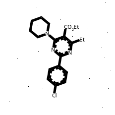 CCOC(=O)c1c(CC)nc(-c2ccc(Cl)cc2)nc1N1CCCCC1